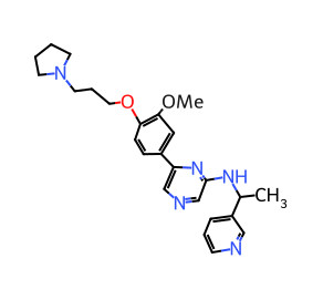 COc1cc(-c2cncc(NC(C)c3cccnc3)n2)ccc1OCCCN1CCCC1